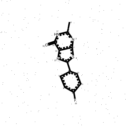 Cc1nc2sc(-c3ccc(F)cc3)nc2c(=O)[nH]1